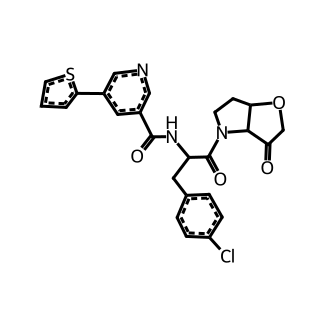 O=C(NC(Cc1ccc(Cl)cc1)C(=O)N1CCC2OCC(=O)C21)c1cncc(-c2cccs2)c1